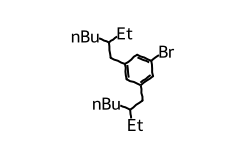 CCCCC(CC)Cc1cc(Br)cc(CC(CC)CCCC)c1